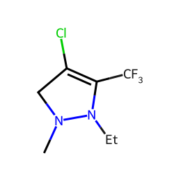 CCN1C(C(F)(F)F)=C(Cl)CN1C